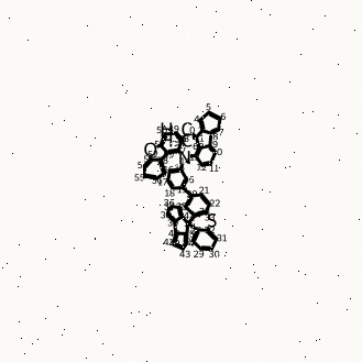 CC1(C)c2ccccc2-c2cccc(N(c3cccc(-c4ccc5c(c4)C4(c6ccccc6S5)c5ccccc5-c5ccccc54)c3)c3cccc4oc5ccccc5c34)c21